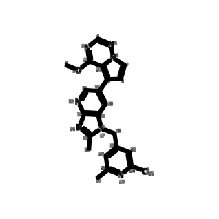 COc1ncnn2ccc(-c3cnc4nc(C)n(Cc5cc(C)nc(Cl)c5)c4c3)c12